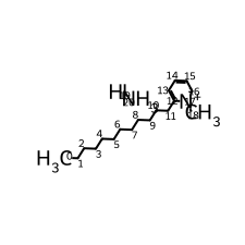 CCCCCCCCCCCCc1cccc[n+]1C.I.N